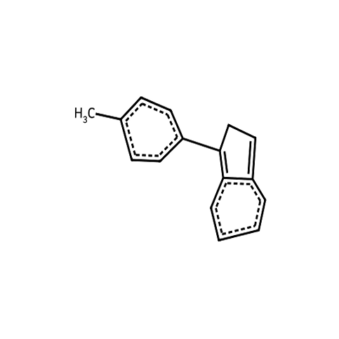 Cc1ccc(C2=c3ccccc3=CC2)cc1